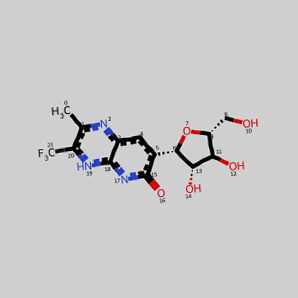 Cc1nc2cc([C@@H]3O[C@H](CO)C(O)[C@@H]3O)c(=O)nc-2[nH]c1C(F)(F)F